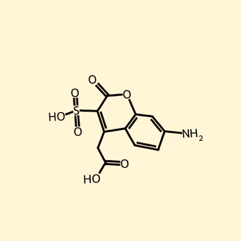 Nc1ccc2c(CC(=O)O)c(S(=O)(=O)O)c(=O)oc2c1